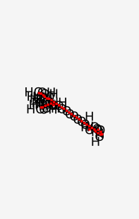 O=C(CC[C@H](NC(=O)CN1C(=O)C=CC1=O)C(=O)O)NCCOCCOCCOCCOCCOCCOCCOCCOCCC(=O)N[C@@H](CCC(=O)NC[C@H](O)[C@@H](O)[C@H](O)[C@H](O)CO)C(=O)NC[C@H](O)[C@@H](O)[C@H](O)[C@H](O)CO